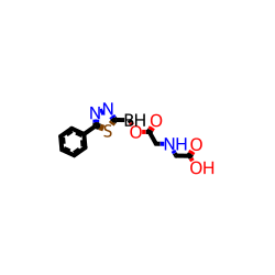 O=C(O)CNCC(=O)OBc1nnc(-c2ccccc2)s1